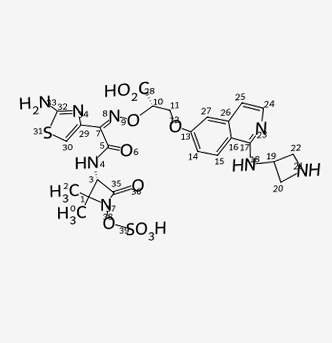 CC1(C)[C@H](NC(=O)/C(=N\O[C@@H](COc2ccc3c(NC4CNC4)nccc3c2)C(=O)O)c2csc(N)n2)C(=O)N1OS(=O)(=O)O